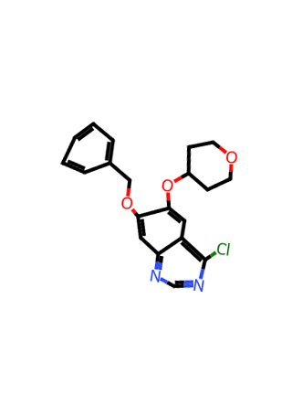 Clc1ncnc2cc(OCc3ccccc3)c(OC3CCOCC3)cc12